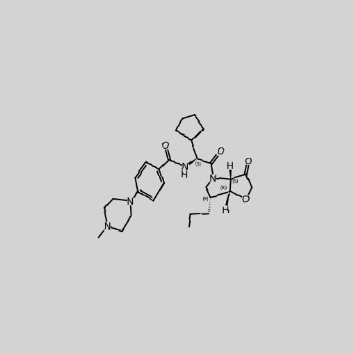 CCC[C@@H]1CN(C(=O)[C@@H](NC(=O)c2ccc(N3CCN(C)CC3)cc2)C2CCCC2)[C@@H]2C(=O)CO[C@H]12